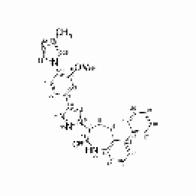 COc1cc(-c2cn(C3CCc4c(cccc4-c4ccccc4)NC3=O)nn2)ccc1-n1cnc(C)c1